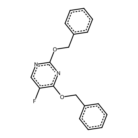 Fc1cnc(OCc2ccccc2)nc1OCc1ccccc1